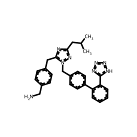 CC(C)Cc1nc(Cc2ccc(CN)cc2)n(Cc2ccc(-c3ccccc3-c3nnn[nH]3)cc2)n1